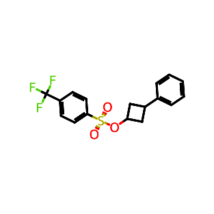 O=S(=O)(OC1CC(c2ccccc2)C1)c1ccc(C(F)(F)F)cc1